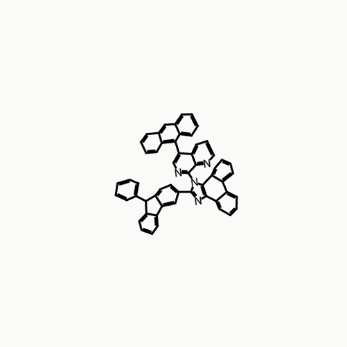 c1ccc(C2c3ccccc3-c3cc(-c4nc5c6ccccc6c6ccccc6c5n4-c4ncc(-c5c6ccccc6cc6ccccc56)c5cccnc45)ccc32)cc1